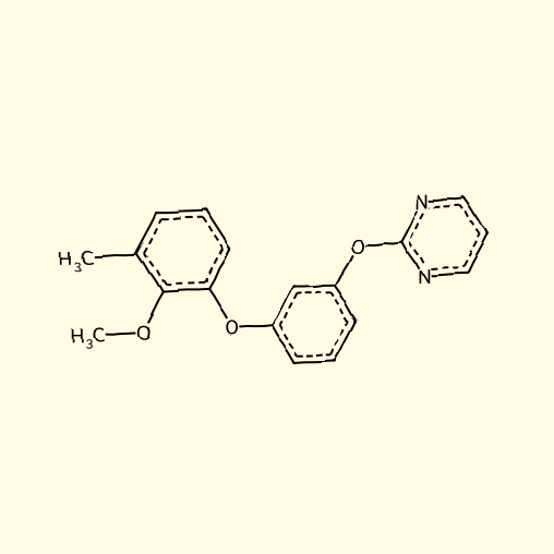 COc1c(C)cccc1Oc1cccc(Oc2ncccn2)c1